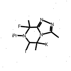 Cc1nnc2n1[C](C)([K])C(I)N(C(C)C)C2(C)F